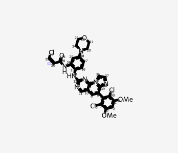 COc1cc(OC)c(Cl)c(-c2cc3cnc(Nc4ccc(N5CCOCC5)cc4NC(=O)/C=C\Cl)nc3n3ccnc23)c1Cl